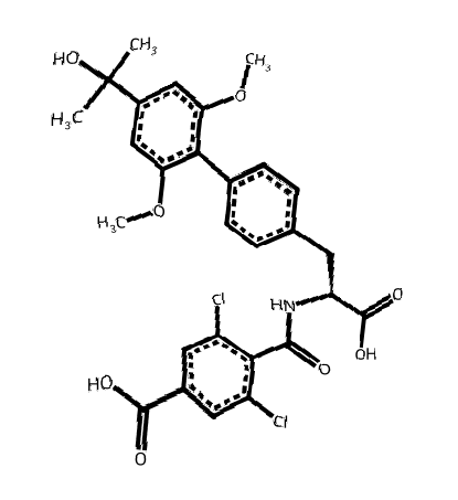 COc1cc(C(C)(C)O)cc(OC)c1-c1ccc(C[C@H](NC(=O)c2c(Cl)cc(C(=O)O)cc2Cl)C(=O)O)cc1